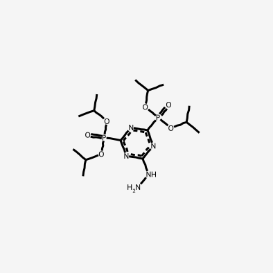 CC(C)OP(=O)(OC(C)C)c1nc(NN)nc(P(=O)(OC(C)C)OC(C)C)n1